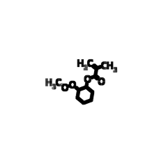 C=C(C)C(=O)OC1CCCCC1OOC